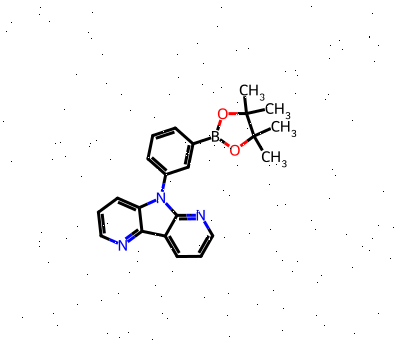 CC1(C)OB(c2cccc(-n3c4cccnc4c4cccnc43)c2)OC1(C)C